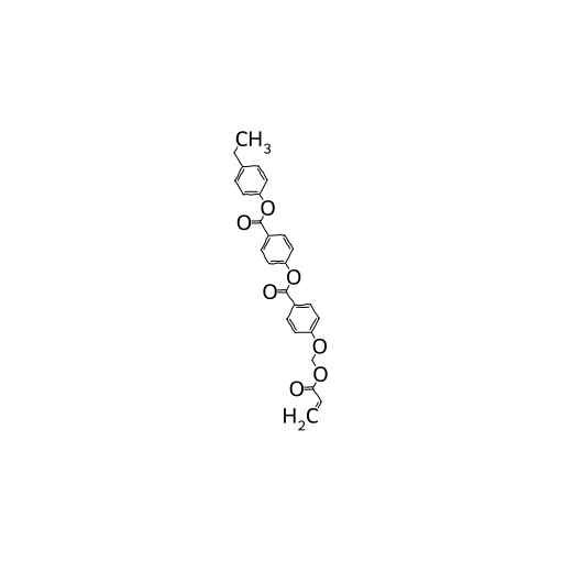 C=CC(=O)OCOc1ccc(C(=O)Oc2ccc(C(=O)Oc3ccc(CC)cc3)cc2)cc1